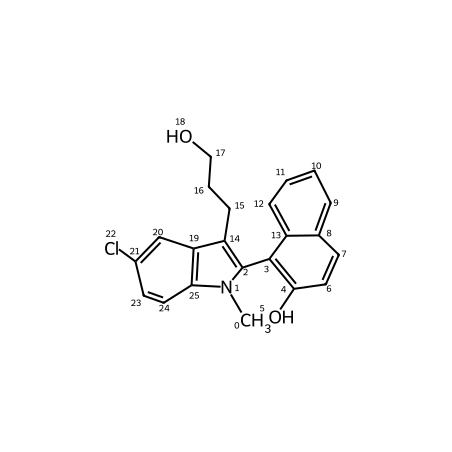 Cn1c(-c2c(O)ccc3ccccc23)c(CCCO)c2cc(Cl)ccc21